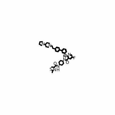 CC1=NC(C(=O)N[C@H]2CC[C@@H](NC(=O)c3cc(F)cnc3Oc3cccc(-c4ccc(CCN5CCC(N6CCCC6)CC5)cc4)c3)CC2)CS1